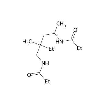 CCC(=O)NCC(C)(CC)CC(C)NC(=O)CC